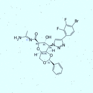 C/C(N)=N\C(=O)[C@@H]1O[C@@H]2CO[C@H](c3ccccc3)O[C@@H]2[C@H](n2cc(-c3ccc(Br)c(F)c3F)nn2)[C@H]1O